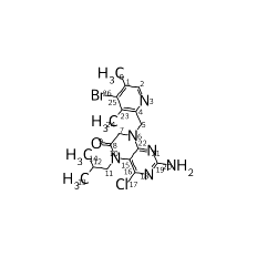 Cc1cnc(CN2CC(=O)N(CC(C)C)c3c(Cl)nc(N)nc32)c(C)c1Br